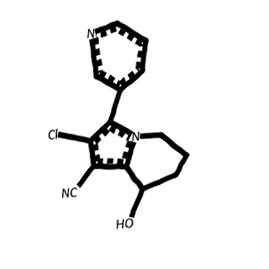 N#Cc1c(Cl)c(-c2cccnc2)n2c1C(O)CCC2